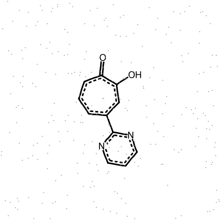 O=c1cccc(-c2ncccn2)cc1O